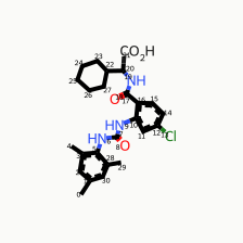 Cc1cc(C)c(NC(=O)Nc2cc(Cl)ccc2C(=O)NC(C(=O)O)C2CCCCC2)c(C)c1